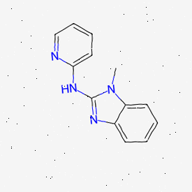 Cn1c(Nc2ccccn2)nc2ccccc21